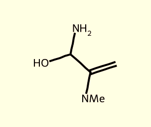 C=C(NC)C(N)O